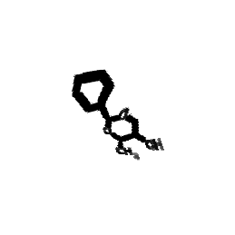 C[C@H]1OC(c2ccccc2)OCC1O